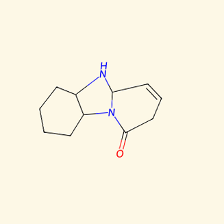 O=C1CC=CC2NC3CCCCC3N12